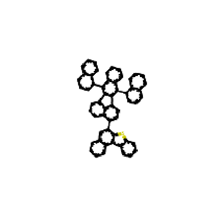 c1ccc2c(-c3c4c(c(-c5cccc6ccccc56)c5ccccc35)-c3ccc(-c5cc6ccccc6c6c5sc5ccccc56)c5cccc-4c35)cccc2c1